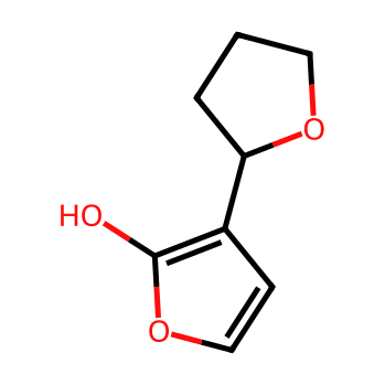 Oc1occc1C1CCCO1